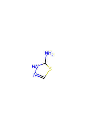 NC1NN=CS1